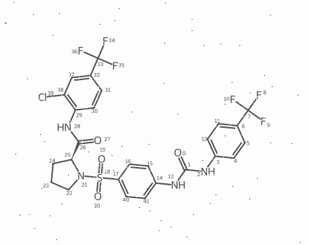 O=C(Nc1ccc(C(F)(F)F)cc1)Nc1ccc(S(=O)(=O)N2CCC[C@H]2C(=O)Nc2ccc(C(F)(F)F)cc2Cl)cc1